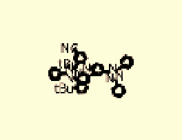 CN1C(c2ccccc2C(C)(C)C)=NC(c2ccccc2C(C)(C)C)=NC1c1cc(C#N)ccc1-n1c2ccccc2c2cc(-c3nc(-c4ccccc4)nc(-c4ccccc4)n3)ccc21